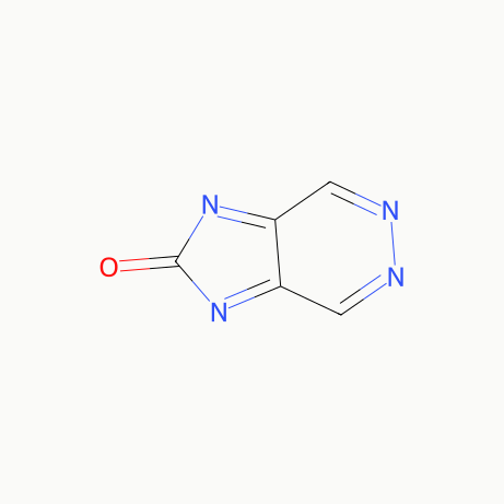 O=C1N=c2cnncc2=N1